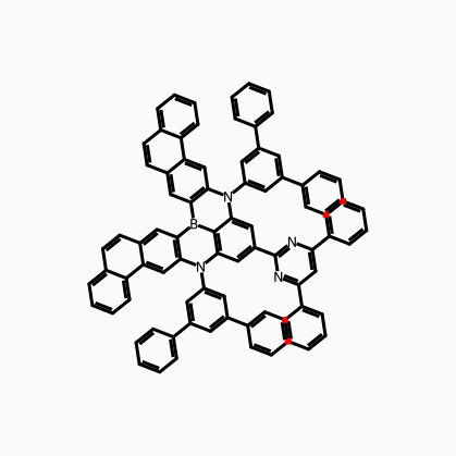 c1ccc(-c2cc(-c3ccccc3)cc(N3c4cc5c(ccc6ccccc65)cc4B4c5cc6ccc7ccccc7c6cc5N(c5cc(-c6ccccc6)cc(-c6ccccc6)c5)c5cc(-c6nc(-c7ccccc7)cc(-c7ccccc7)n6)cc3c54)c2)cc1